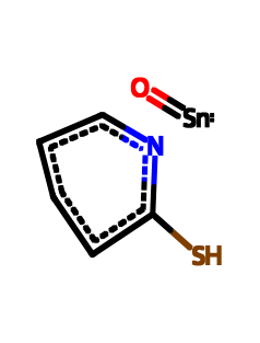 Sc1ccccn1.[O]=[Sn]